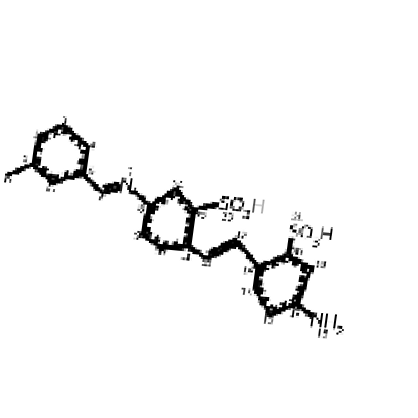 Cc1cccc(/C=N/c2ccc(/C=C/c3ccc(N)cc3S(=O)(=O)O)c(S(=O)(=O)O)c2)c1